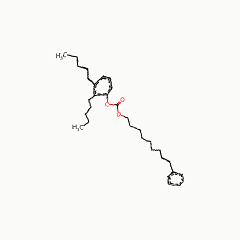 CCCCCc1cccc(OC(=O)OCCCCCCCCCc2ccccc2)c1CCCCC